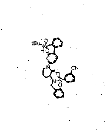 CC(C)(C)NS(=O)(=O)c1ccccc1-c1ccc(N2CCCC(N(Cc3ccccc3)S(=O)(=O)c3cccc(C#N)c3)C2=O)cc1